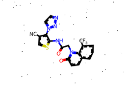 N#Cc1csc(NC(=O)Cn2c(=O)ccc3cccc(C(F)(F)F)c32)c1-n1ccnn1